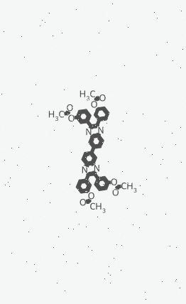 CC(=O)Oc1cccc(-c2nc3cc(-c4ccc5nc(-c6cccc(OC(C)=O)c6)c(-c6cccc(OC(C)=O)c6)nc5c4)ccc3nc2C2=CC=CC(OC(C)=O)C2)c1